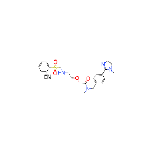 CN(Cc1ccc(C2=NCCN2C)cc1)C(=O)COCCNCS(=O)(=O)c1ccccc1C#N